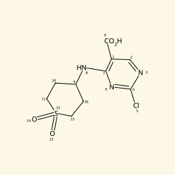 O=C(O)c1cnc(Cl)nc1NC1CCS(=O)(=O)CC1